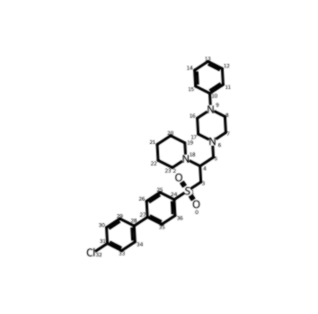 O=S(=O)(CC(CN1CCN(c2ccccc2)CC1)N1CCCCC1)c1ccc(-c2ccc(Cl)cc2)cc1